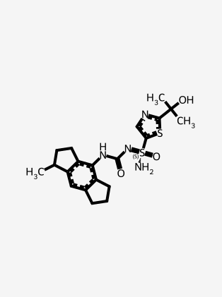 CC1CCc2c1cc1c(c2NC(=O)N=[S@](N)(=O)c2cnc(C(C)(C)O)s2)CCC1